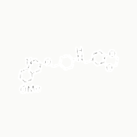 COc1ccc2ncc(OCC3CCC(NCc4ccc5c(c4)OCCO5)CC3)cc2c1